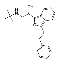 CC(C)(C)NCC(O)c1oc(CCc2ccccc2)c2ccccc12